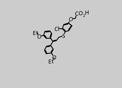 CCOc1cccc(C(=CCSc2ccc(OCC(=O)O)cc2Cl)c2cccc(OCC)c2)c1